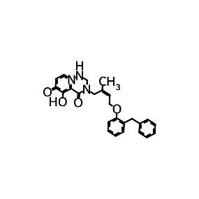 C/C(=C/COc1ccccc1Cc1ccccc1)CN1CNn2ccc(=O)c(O)c2C1=O